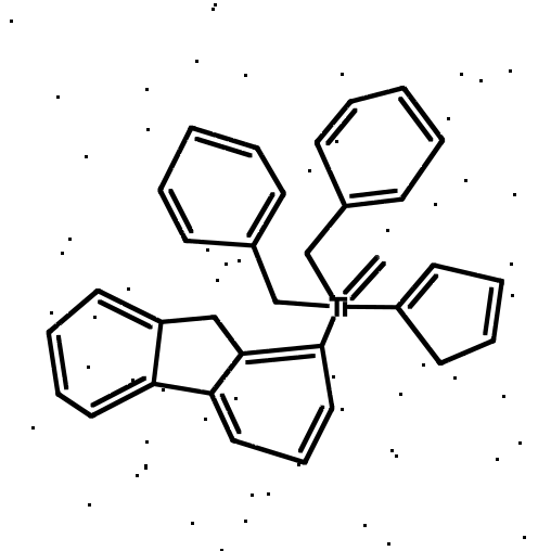 [CH2]=[Ti]([CH2]c1ccccc1)([CH2]c1ccccc1)([C]1=CC=CC1)[c]1cccc2c1Cc1ccccc1-2